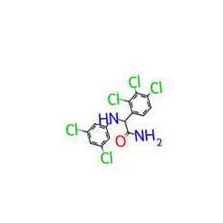 NC(=O)C(Nc1cc(Cl)cc(Cl)c1)c1ccc(Cl)c(Cl)c1Cl